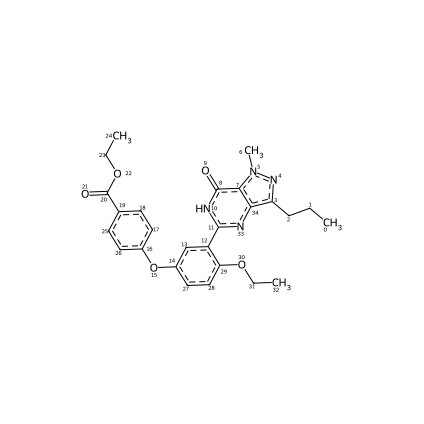 CCCc1nn(C)c2c(=O)[nH]c(-c3cc(Oc4ccc(C(=O)OCC)cc4)ccc3OCC)nc12